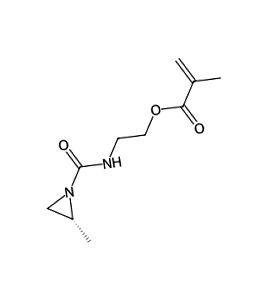 C=C(C)C(=O)OCCNC(=O)N1C[C@H]1C